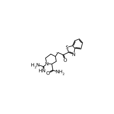 N=C(N)N1CCC([CH]C(=O)c2nc3ccccc3s2)CC1C(N)=O